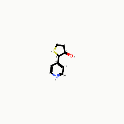 O=C1CCSC1c1ccncc1